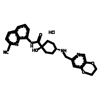 Cl.N#Cc1ccc2cccc(NC(=O)[C@]3(O)CC[C@H](NCc4cc5c(cn4)OCCO5)CC3)c2n1